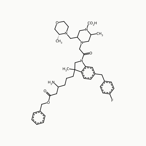 CC1CN(CC(=O)N2CC(C)(CCCC(N)CC(=O)OCc3ccccc3)c3ccc(Cc4ccc(F)cc4)cc32)C(CN2CCOC[C@H]2C)CN1C(=O)O